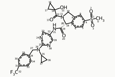 CS(=O)(=O)c1ccc2c(c1)CN(C(=O)C1(O)CC1)[C@H]2C(=O)Nc1cnc(N(Cc2ccc(C(F)(F)F)cc2)C2CC2)nc1